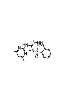 Cc1cc(C)nc(N/C(=N/N)NS(=O)(=O)c2ccccc2Cl)n1